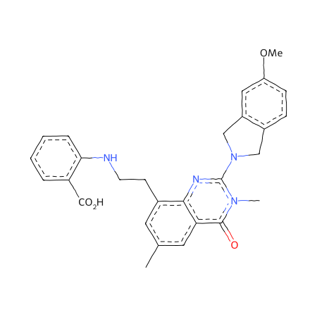 COc1ccc2c(c1)CN(c1nc3c(CCNc4ccccc4C(=O)O)cc(C)cc3c(=O)n1C)C2